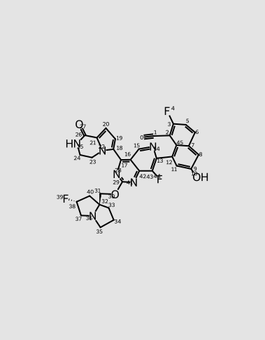 C#Cc1c(F)ccc2cc(O)cc(-c3ncc4c(-c5ccc6n5CCNC6=O)nc(OC[C@@]56CCCN5C[C@H](F)C6)nc4c3F)c12